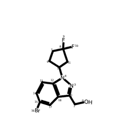 OCc1nn(C2CCC(F)(F)C2)c2ccc(Br)cc12